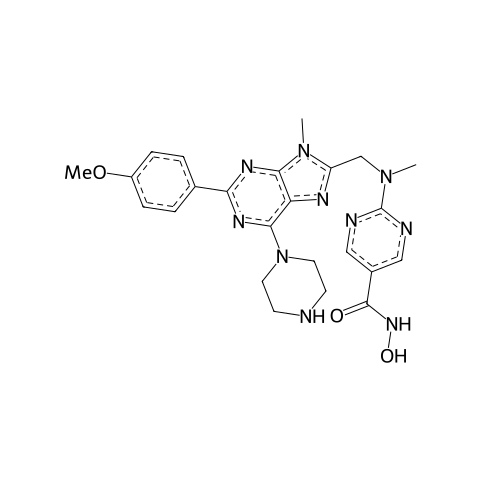 COc1ccc(-c2nc(N3CCNCC3)c3nc(CN(C)c4ncc(C(=O)NO)cn4)n(C)c3n2)cc1